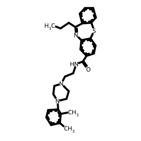 CCCC1=Nc2cc(C(=O)NCCN3CCN(c4cccc(C)c4C)CC3)ccc2Sc2ccccc21